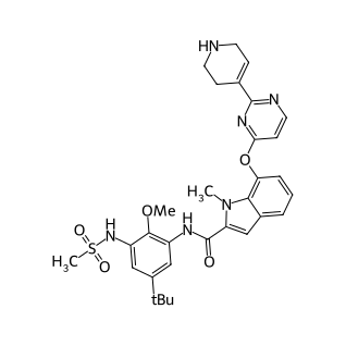 COc1c(NC(=O)c2cc3cccc(Oc4ccnc(C5=CCNCC5)n4)c3n2C)cc(C(C)(C)C)cc1NS(C)(=O)=O